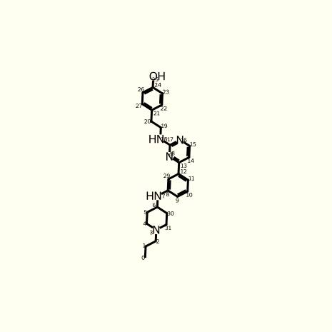 CCCN1CCC(Nc2cccc(-c3ccnc(NCCc4ccc(O)cc4)n3)c2)CC1